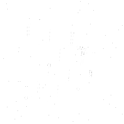 CSC(=O)C(CC(C(=O)c1ccc(Cl)cc1Cl)c1ncc[nH]1)c1ccccc1